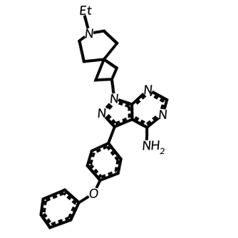 CCN1CCC2(CC1)CC(n1nc(-c3ccc(Oc4ccccc4)cc3)c3c(N)ncnc31)C2